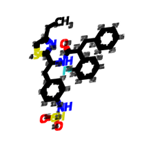 CCc1csc(C(Cc2ccc(N[SH](=O)=O)cc2)NC(=O)C(Cc2ccccc2)c2ccccc2F)n1